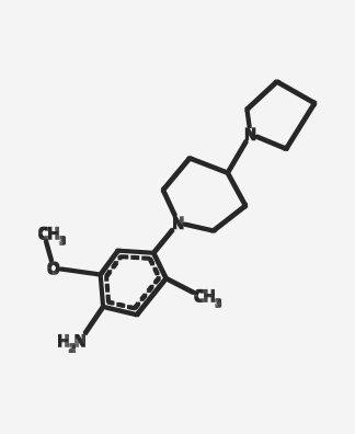 COc1cc(N2CCC(N3CCCC3)CC2)c(C)cc1N